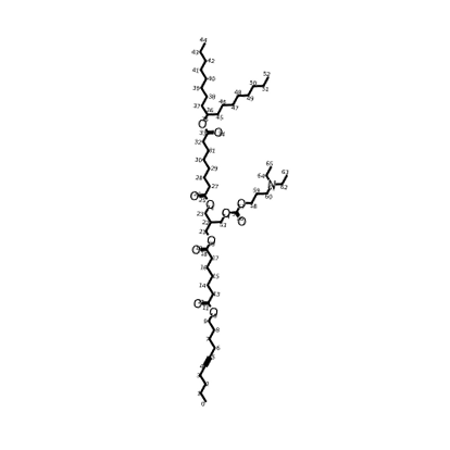 CCCCC#CCCCCOC(=O)CCCCCC(=O)OCC(COC(=O)CCCCCCC(=O)OC(CCCCCCCC)CCCCCCCC)COC(=O)OCCCN(CC)CC